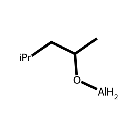 CC(C)CC(C)[O][AlH2]